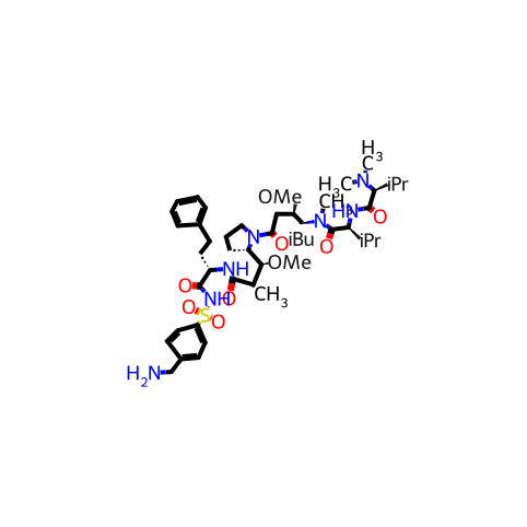 CC[C@H](C)[C@@H]([C@@H](CC(=O)N1CCC[C@H]1[C@H](OC)[C@@H](C)C(=O)N[C@@H](CCc1ccccc1)C(=O)NS(=O)(=O)c1ccc(CN)cc1)OC)N(C)C(=O)[C@@H](NC(=O)[C@H](C(C)C)N(C)C)C(C)C